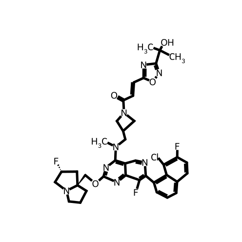 CN(CC1CN(C(=O)/C=C/c2nc(C(C)(C)O)no2)C1)c1nc(OC[C@@]23CCCN2C[C@H](F)C3)nc2c(F)c(-c3cccc4ccc(F)c(Cl)c34)ncc12